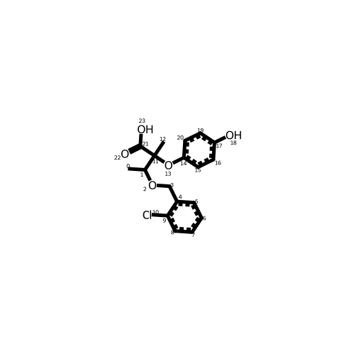 CC(OCc1ccccc1Cl)C(C)(Oc1ccc(O)cc1)C(=O)O